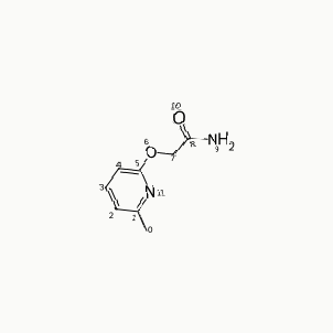 Cc1cccc(OCC(N)=O)n1